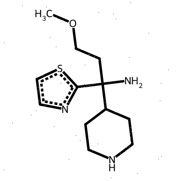 COCCC(N)(c1nccs1)C1CCNCC1